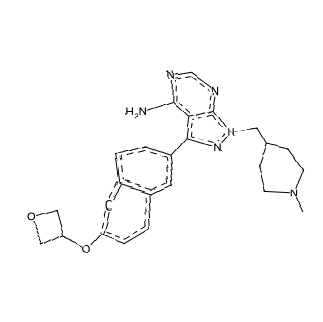 CN1CCC(Cn2nc(-c3ccc4cc(OC5COC5)ccc4c3)c3c(N)ncnc32)CC1